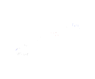 CCCCC/C=C\CC=CCCCCCCCCOC(=O)CCCCCN